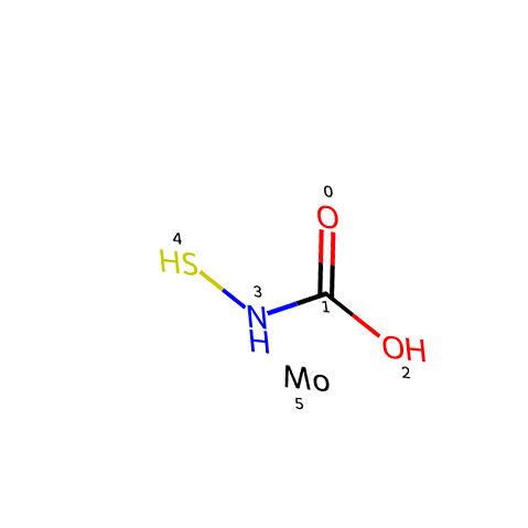 O=C(O)NS.[Mo]